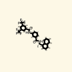 C[C@H](NC(=O)c1cccc(NC(=O)c2cc(C(F)(F)F)cc(C(F)(F)F)c2)c1)c1cccc2ccccc12